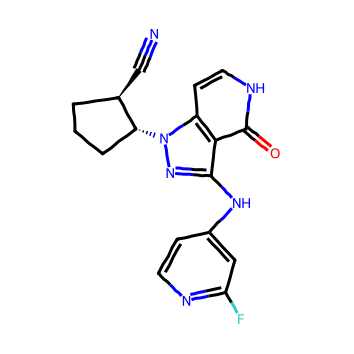 N#C[C@@H]1CCC[C@H]1n1nc(Nc2ccnc(F)c2)c2c(=O)[nH]ccc21